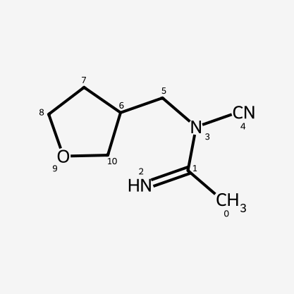 CC(=N)N(C#N)CC1CCOC1